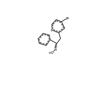 O/N=C(/Cc1cc(Br)ccn1)c1ccccc1